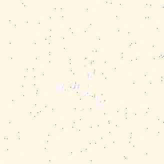 COc1ccc2c(O[C@@H]3C[C@H]4C(=O)N[C@]5(C(=O)NS(=O)(=O)C6CC6)C[C@H]5C=CCC[C@@H](C)C[C@@H](C)[C@H](NC(=O)O)C(=O)N4C3)nccc2c1